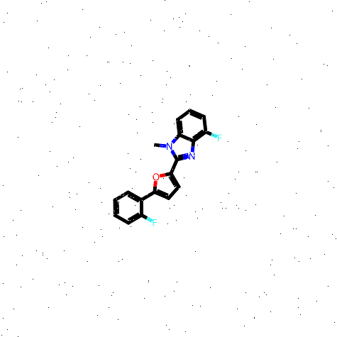 Cn1c(-c2ccc(-c3ccccc3F)o2)nc2c(F)cccc21